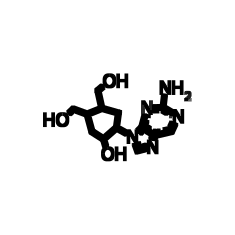 Nc1ncc2ncn(C3CC(CO)C(CO)CC3O)c2n1